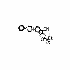 CCC(CC)C(=O)Nc1sc2c(c1C#N)CCC(N1CCN(c3ccccc3)CC1)C2